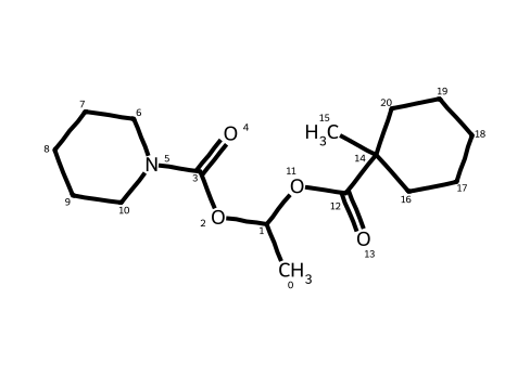 CC(OC(=O)N1CCCCC1)OC(=O)C1(C)CCCCC1